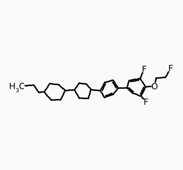 CCCC1CCC(C2CCC(c3ccc(-c4cc(F)c(OCCF)c(F)c4)cc3)CC2)CC1